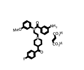 COc1cccc(N(CCN2CCC(C(=O)c3ccc(F)cc3)CC2)C(=O)c2cccc(N)c2)c1.O=C(O)C=CC(=O)O